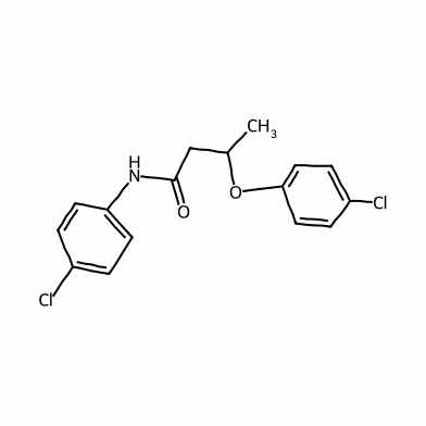 CC(CC(=O)Nc1ccc(Cl)cc1)Oc1ccc(Cl)cc1